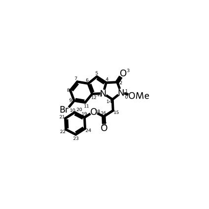 CON1C(=O)c2cc3ccc(Br)cc3n2C1CC(=O)Oc1ccccc1